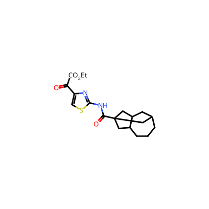 CCOC(=O)C(=O)c1csc(NC(=O)C23CC4CCCC(C2)C(C4)C3)n1